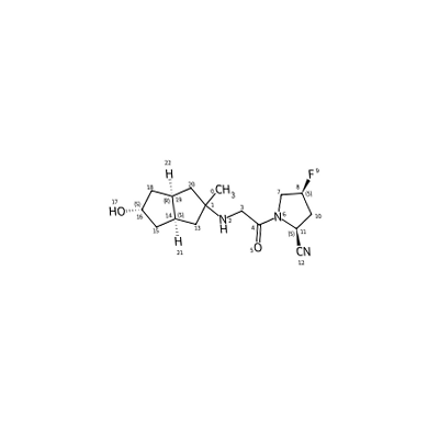 CC1(NCC(=O)N2C[C@@H](F)C[C@H]2C#N)C[C@H]2C[C@H](O)C[C@H]2C1